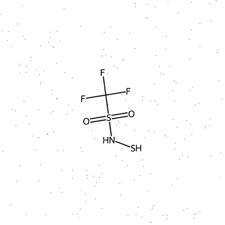 O=S(=O)(NS)C(F)(F)F